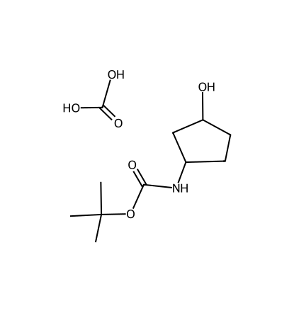 CC(C)(C)OC(=O)NC1CCC(O)C1.O=C(O)O